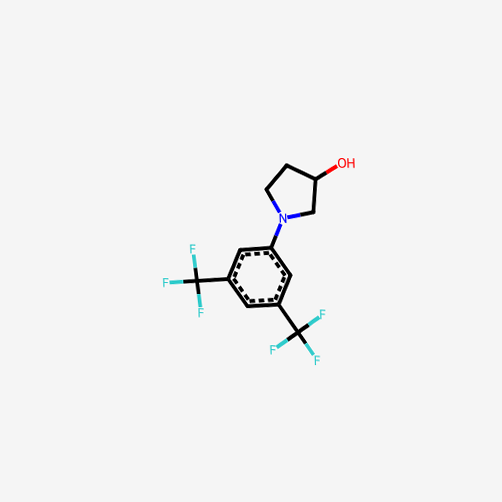 OC1CCN(c2cc(C(F)(F)F)cc(C(F)(F)F)c2)C1